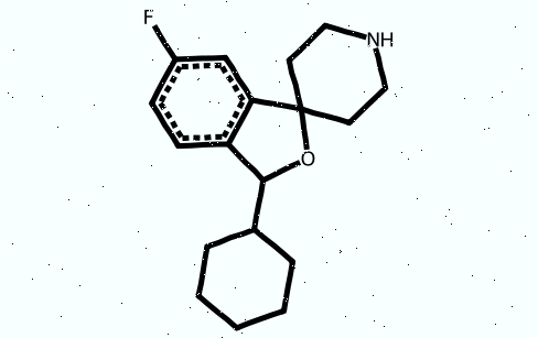 Fc1ccc2c(c1)C1(CCNCC1)OC2C1CCCCC1